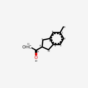 Cc1ccc2c(c1)CC(C(=O)C=O)C2